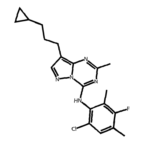 Cc1nc(Nc2c(Cl)cc(C)c(F)c2C)n2ncc(CCCC3CC3)c2n1